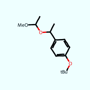 COC(C)OC(C)c1ccc(OC(C)(C)C)cc1